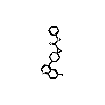 O=C(Nc1ccccc1)C1CC12CCC(c1ccnc3ccc(F)cc13)CC2